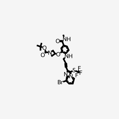 CNC(=O)c1ccc(NCC#Cc2nc3c(Br)cccn3c2SC(F)(F)F)c(OC2CN(C(=O)OC(C)(C)C)C2)c1